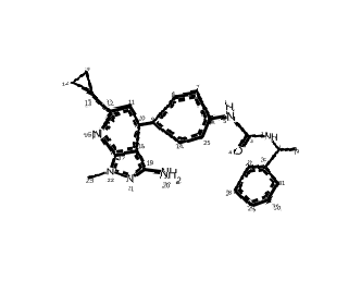 CC(NC(=O)Nc1ccc(-c2cc(C3CC3)nc3c2c(N)nn3C)cc1)c1ccccc1